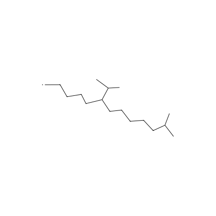 [CH2]CCCCC(CCCCCC(C)C)C(C)C